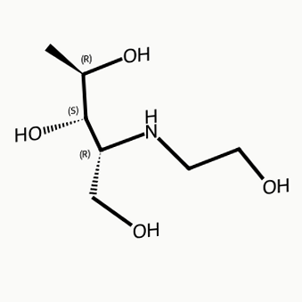 C[C@@H](O)[C@@H](O)[C@@H](CO)NCCO